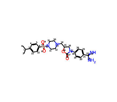 CC(C)c1ccc(S(=O)(=O)N2CCN(CC3CN(c4ccc(C(=N)N)cc4)C(=O)O3)CC2)cc1